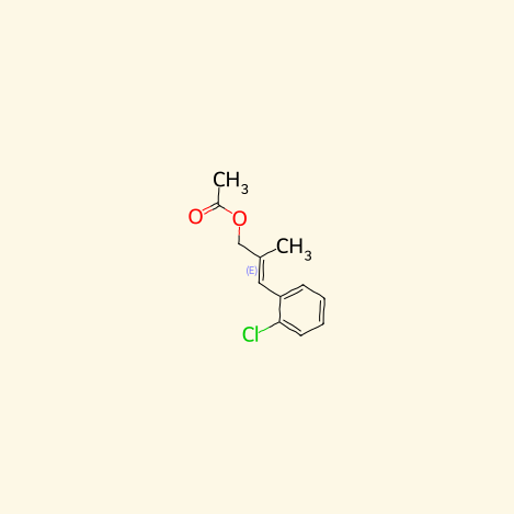 CC(=O)OC/C(C)=C/c1ccccc1Cl